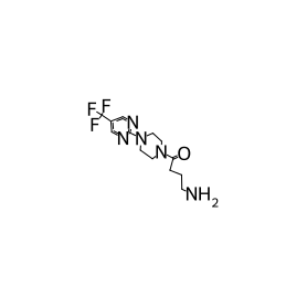 NCCCC(=O)N1CCN(c2ncc(C(F)(F)F)cn2)CC1